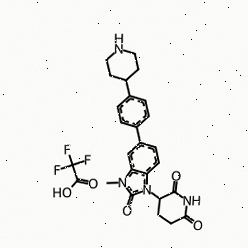 Cn1c(=O)n(C2CCC(=O)NC2=O)c2ccc(-c3ccc(C4CCNCC4)cc3)cc21.O=C(O)C(F)(F)F